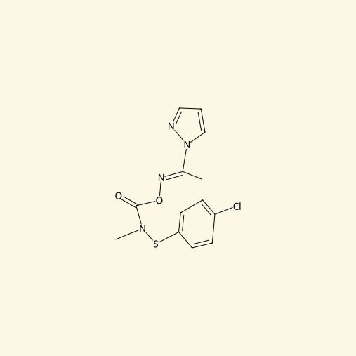 CC(=NOC(=O)N(C)Sc1ccc(Cl)cc1)n1cccn1